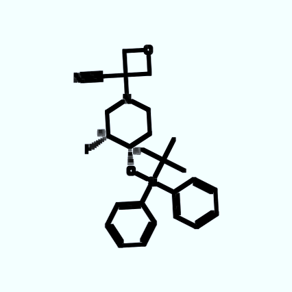 CC(C)(C)[Si](O[C@H]1CCN(C2(C#N)COC2)C[C@H]1F)(c1ccccc1)c1ccccc1